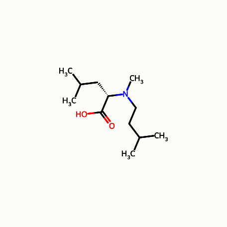 CC(C)CCN(C)[C@@H](CC(C)C)C(=O)O